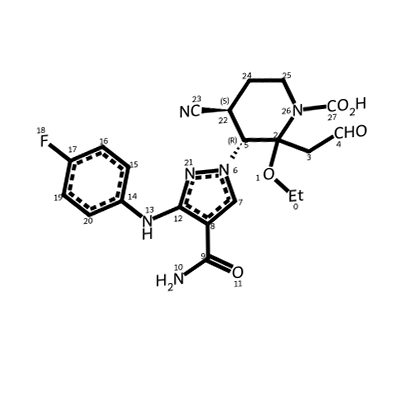 CCOC1(CC=O)[C@H](n2cc(C(N)=O)c(Nc3ccc(F)cc3)n2)[C@@H](C#N)CCN1C(=O)O